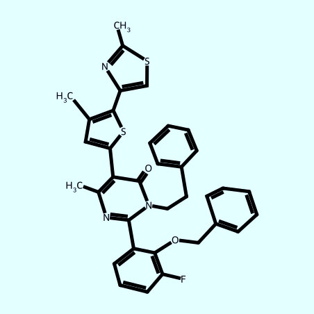 Cc1nc(-c2sc(-c3c(C)nc(-c4cccc(F)c4OCc4ccccc4)n(CCc4ccccc4)c3=O)cc2C)cs1